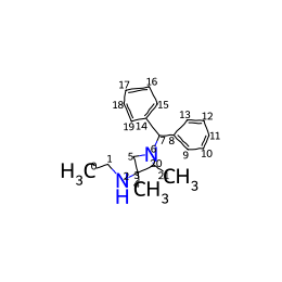 CCNC1(C)CN(C(c2ccccc2)c2ccccc2)C1C